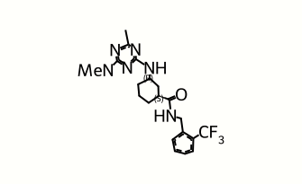 CNc1nc(C)nc(N[C@@H]2CCC[C@H](C(=O)NCc3ccccc3C(F)(F)F)C2)n1